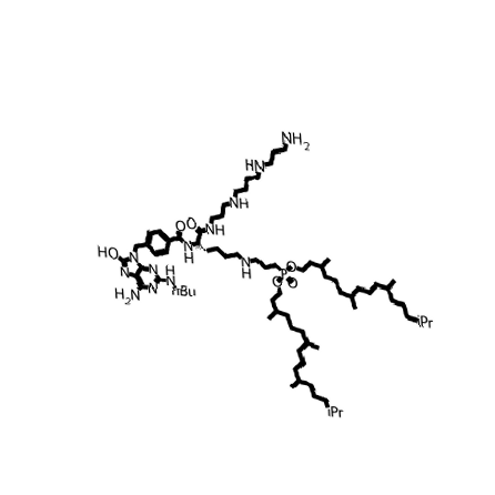 CCCCNc1nc(N)c2nc(O)n(Cc3ccc(C(=O)N[C@@H](CCCCNCCCP(=O)(OCCC(C)CCCC(C)CCCC(C)CCCC(C)C)OCCC(C)CCCC(C)CCCC(C)CCCC(C)C)C(=O)NCCCNCCCCNCCCN)cc3)c2n1